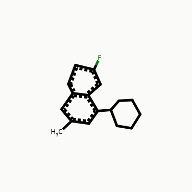 Cc1cc(C2CCCCC2)c2cc(F)ccc2c1